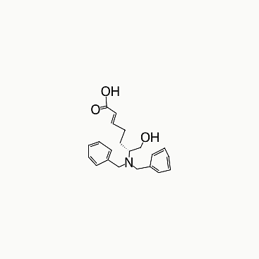 O=C(O)/C=C/CC[C@H](CO)N(Cc1ccccc1)Cc1ccccc1